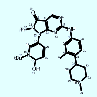 Cc1cc(Nc2ncc3c(=O)n(C(C)C)n(C4=CN(C(C)(C)C)C(O)C=C4)c3n2)ccc1C1CCN(C)CC1